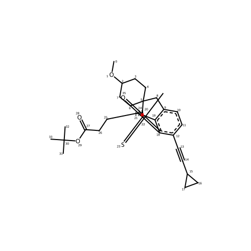 COC1CCC2(CC1)Cc1ccc(C#CC3CC3)cc1C21NC(=S)N(CCC(=O)OC(C)(C)C)C1=O